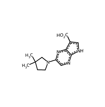 CC1(C)CCN(c2cnc3[nH]cc(C(=O)O)c3n2)C1